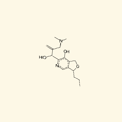 C=C(CN(C)C)C(O)c1ncc2c(c1O)COC2CCC